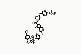 COc1ccc(Cl)cc1S(=O)(=O)Nc1ccc(Oc2ccc3cc(C(=O)N4CCN(Cc5ccc(OCC(F)(F)F)cc5)CC4)n(C)c3c2)nc1